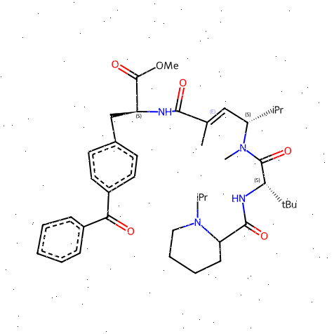 COC(=O)[C@H](Cc1ccc(C(=O)c2ccccc2)cc1)NC(=O)/C(C)=C/[C@H](C(C)C)N(C)C(=O)[C@@H](NC(=O)C1CCCCN1C(C)C)C(C)(C)C